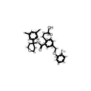 Cc1cc(C)cc(C2(NC(=O)c3cc(COc4ccccc4F)ccc3CCC(=O)O)CCOCC2)c1